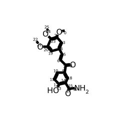 COc1cc(/C=C/C(=O)c2ccc(O)c(C(N)=O)c2)cc(OC)c1OC